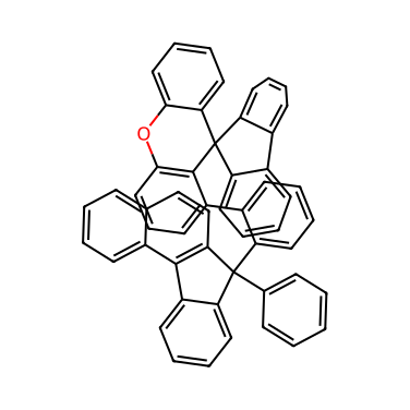 c1ccc(C2(c3ccccc3-c3cccc4c3C3(c5ccccc5O4)c4ccccc4-c4ccccc43)c3ccccc3-c3c2ccc2ccccc32)cc1